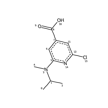 CC(C)N(C)c1cc(C(=O)O)cc(Cl)n1